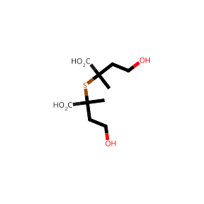 CC(CCO)(SC(C)(CCO)C(=O)O)C(=O)O